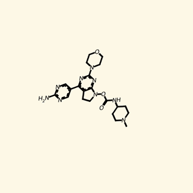 CN1CCC(NC(=O)ON2CCc3c(-c4cnc(N)nc4)nc(N4CCOCC4)nc32)CC1